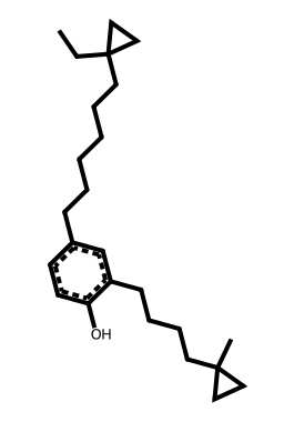 CCC1(CCCCCCc2ccc(O)c(CCCCC3(C)CC3)c2)CC1